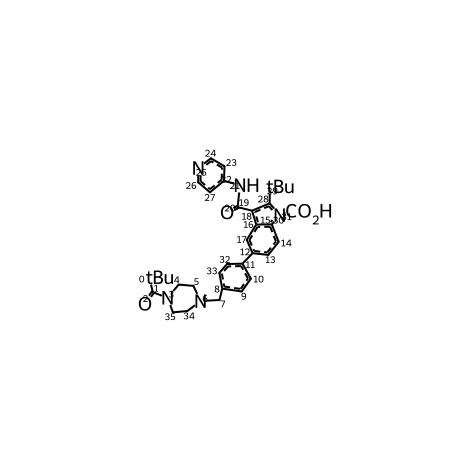 CC(C)(C)C(=O)N1CCN(Cc2ccc(-c3ccc4c(c3)c(C(=O)Nc3ccncc3)c(C(C)(C)C)n4C(=O)O)cc2)CC1